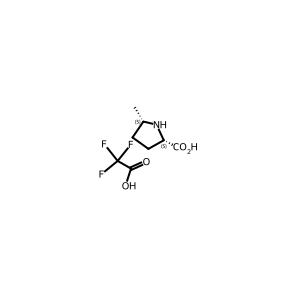 C[C@H]1CC[C@@H](C(=O)O)N1.O=C(O)C(F)(F)F